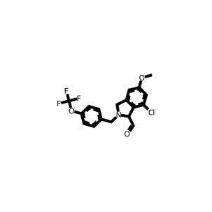 COc1cc(Cl)c2c(c1)CN(Cc1ccc(OC(F)(F)F)cc1)C2C=O